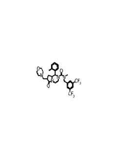 Cc1ccccc1C1C2CC(CN3CCOCC3)C(=O)N2CCN1C(=O)N(C)Cc1cc(C(F)(F)F)cc(C(F)(F)F)c1